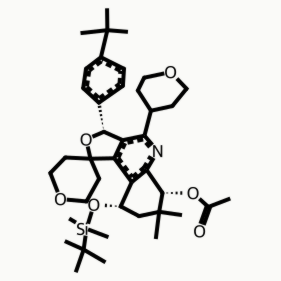 CC(=O)O[C@H]1c2nc(C3CCOCC3)c3c(c2[C@@H](O[Si](C)(C)C(C)(C)C)CC1(C)C)C1(CCOCC1)O[C@@H]3c1ccc(C(C)(C)C)cc1